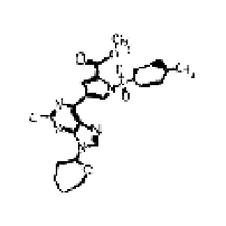 COC(=O)c1cc(-c2nc(Cl)nc3c2ncn3C2CCCCO2)cn1S(=O)(=O)c1ccc(C)cc1